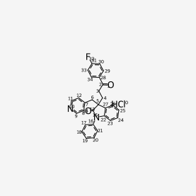 Cl.O=C(CCC1(Cc2ccncc2)C(=O)N(c2ccccc2)c2ccccc21)c1ccc(F)cc1